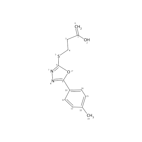 C=C(O)CCSc1nnc(-c2ccc(C)cc2)o1